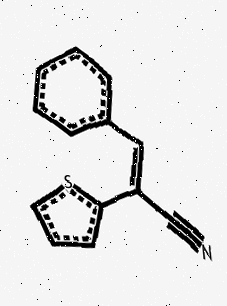 N#CC(=Cc1ccccc1)c1cccs1